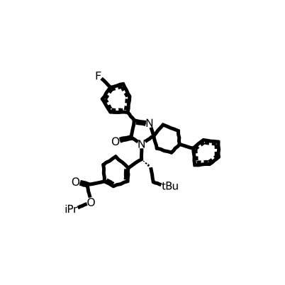 CC(C)OC(=O)C1=CC=C([C@@H](CCC(C)(C)C)N2C(=O)C(c3ccc(F)cc3)=NC23CCC(c2ccccc2)CC3)CC1